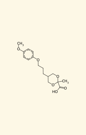 COc1ccc(OCCCC2COC(C)(C(=O)O)OC2)cc1